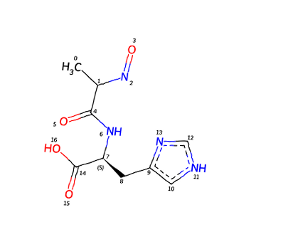 CC(N=O)C(=O)N[C@@H](Cc1c[nH]cn1)C(=O)O